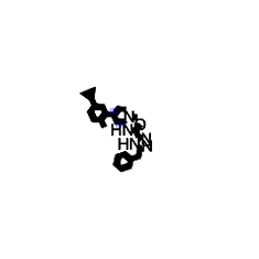 C=N/C(=C\C(=C/C)c1cc(C2CC2)ccc1C)NC(=O)c1nnc(Cc2ccccc2)[nH]1